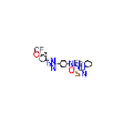 CCc1ccccc1-c1ncsc1NC(=O)Nc1ccc(-c2ncn(-c3ccc(OC(F)(F)F)cc3)n2)cc1